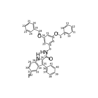 O=C(NCc1cc(OCc2ccccc2)cc(OCc2ccccc2)c1)c1[nH]c2ccc(F)cc2c1-c1ccccc1